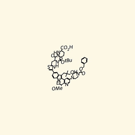 CCn1c(-c2cc(N3CCN(C(=O)OCc4ccccc4)CC3)cnc2[C@H](C)OC)c(CC(C)(C)CO)c2cc(-c3csc(CC(NC(=O)OC(C)(C)C)C(=O)N4CCCC(C(=O)O)N4)n3)ccc21